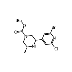 C[C@H]1CN(C(=O)OC(C)(C)C)C[C@@H](c2cc(Cl)nc(Br)c2)N1